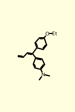 C=C/C=C(/c1ccc(OCC)cc1)c1ccc(N(C)C)cc1